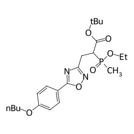 CCCCOc1ccc(-c2nc(CC(C(=O)OC(C)(C)C)P(C)(=O)OCC)no2)cc1